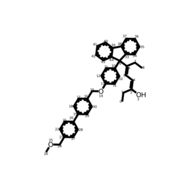 CC/C(O)=C\C=C(/CC)C1(c2ccc(OCc3ccc(-c4ccc(COC)cc4)cc3)cc2)c2ccccc2-c2ccccc21